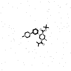 CC(C)C(=O)N1C[C@H](c2cccc(N3CCN(C)CC3)c2)N(C(=O)OC(C)(C)C)C[C@H]1C